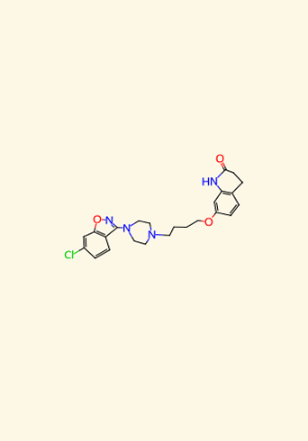 O=C1CCc2ccc(OCCCCN3CCN(c4noc5cc(Cl)ccc45)CC3)cc2N1